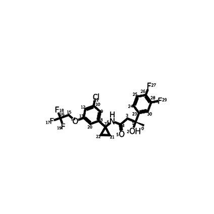 C[C@@](O)(CC(=O)NC1(c2cc(Cl)cc(OCC(F)(F)F)c2)CC1)c1ccc(F)c(F)c1